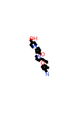 CCC(CC1CCC(C)N1C(=O)c1ccc(N2CCC(CO)CC2)cc1)Oc1ccc(C#N)c(C)c1